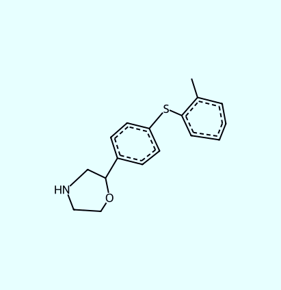 Cc1ccccc1Sc1ccc(C2CNCCO2)cc1